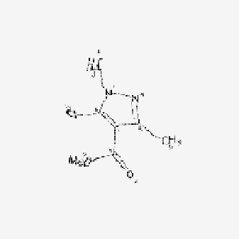 COC(=O)c1c(C)nn(C)c1Cl